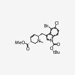 COC(=O)[C@@H]1C=C[C@@H](Cc2cn(C(=O)OC(C)(C)C)c3ccc(Cl)c(Br)c23)N(C)C1